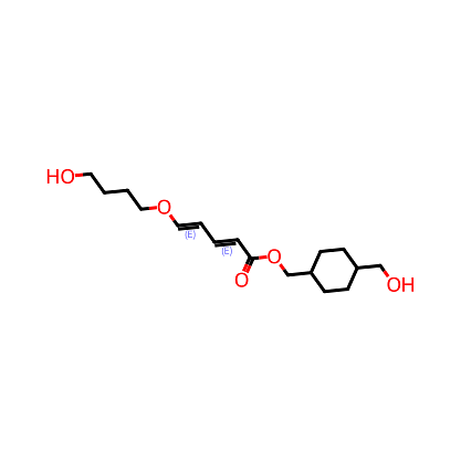 O=C(/C=C/C=C/OCCCCO)OCC1CCC(CO)CC1